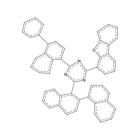 c1ccc(-c2ccc(-c3nc(-c4c(-c5cccc6ccccc56)ccc5ccccc45)nc(-c4cccc5c4oc4ccccc45)n3)c3ccccc23)cc1